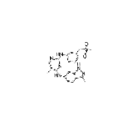 Cc1cnc(Nc2cccc(CS(C)(=O)=O)c2)nc1Nc1ccc2c(C)n[nH]c2c1